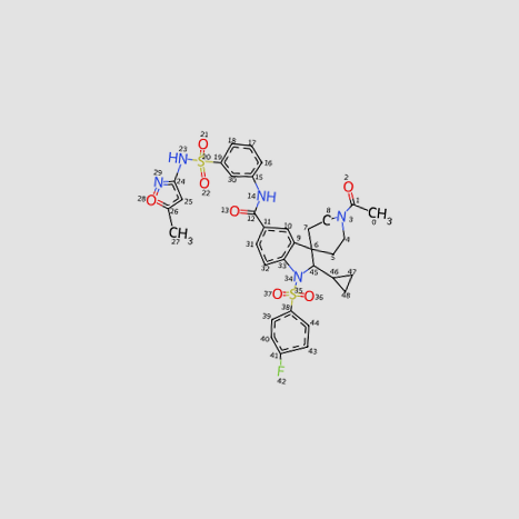 CC(=O)N1CCC2(CC1)c1cc(C(=O)Nc3cccc(S(=O)(=O)Nc4cc(C)on4)c3)ccc1N(S(=O)(=O)c1ccc(F)cc1)C2C1CC1